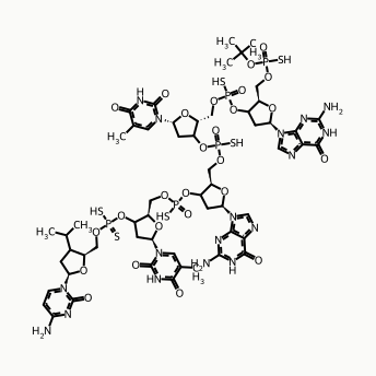 Cc1cn([C@H]2CC(OP(=O)(S)OC[C@H]3O[C@@H](n4cnc5c(=O)[nH]c(N)nc54)CC3OP(=O)(S)OC[C@H]3O[C@@H](n4cc(C)c(=O)[nH]c4=O)CC3OP(=S)(S)OC[C@H]3O[C@@H](n4ccc(N)nc4=O)CC3C(C)C)[C@@H](COP(=O)(S)OC3C[C@H](n4cnc5c(=O)[nH]c(N)nc54)O[C@@H]3COP(=O)(S)OC(C)(C)C)O2)c(=O)[nH]c1=O